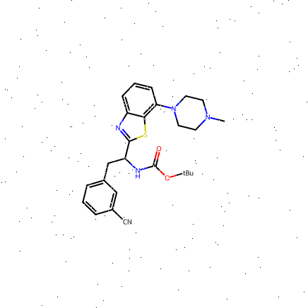 CN1CCN(c2cccc3nc(C(Cc4cccc(C#N)c4)NC(=O)OC(C)(C)C)sc23)CC1